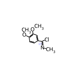 C/N=C(\Cl)c1ccc(OC)c(OC)c1